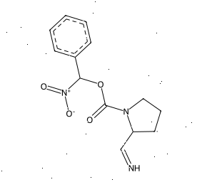 N=CC1[CH]CCN1C(=O)OC(c1ccccc1)[N+](=O)[O-]